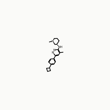 Cc1cc(-c2ccc(C3CCC3)cc2)nnc1N[C@@H]1CCCN(C)C1